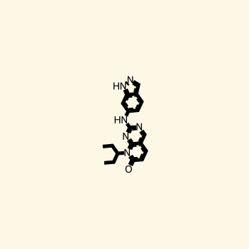 CCC(CC)n1c(=O)ccc2cnc(Nc3ccc4cn[nH]c4c3)nc21